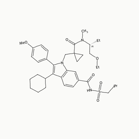 CCOC[C@@H](CC)N(C)C(=O)C1(Cn2c(-c3ccc(OC)cc3)c(C3CCCCC3)c3ccc(C(=O)NS(=O)(=O)CC(C)C)cc32)CC1